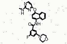 CNc1nccc(Oc2ccc(NC(=O)c3cc(F)cc(N4CCOCC4)c3)c3ccccc23)n1